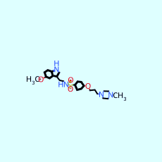 COc1ccc2[nH]cc(CCNS(=O)(=O)c3ccc(OCCCN4CCN(C)CC4)cc3)c2c1